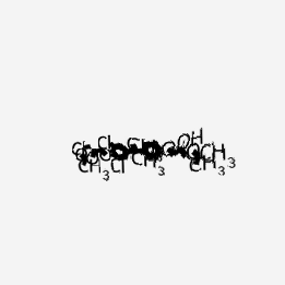 CC(=O)O[C@H](CCl)COc1c(Cl)cc(C(C)(C)c2ccc(OC[C@H](O)COC(C)C)cc2)cc1Cl